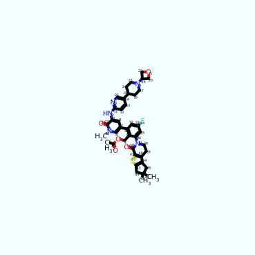 CC(=O)OCc1c(-c2cc(Nc3ccc(C4CCN(C5COC5)CC4)cn3)c(=O)n(C)c2)cc(F)cc1N1CCc2c(sc3c2CC(C)(C)C3)C1=O